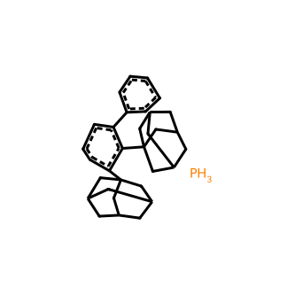 P.c1ccc(-c2cccc(C34CC5CC(CC(C5)C3)C4)c2C23CC4CC(CC(C4)C2)C3)cc1